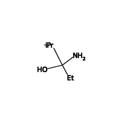 CCC(N)(O)[C](C)C